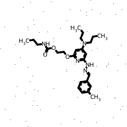 CCCNC(=O)OCCOc1cc(N(CCC)CCC)cc(N/N=C/c2cccc(C)c2)n1